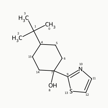 CC(C)(C)C1CCC(O)(c2nccs2)CC1